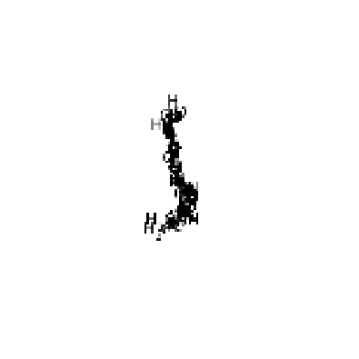 CCN(C)S(=O)(=O)Nc1ccc(F)c(Oc2ccc3ncn(-c4cnn(C5CCN(C(=O)CN6CCC(c7ccc(NC8CCC(=O)NC8=O)cc7)CC6)CC5)c4)c(=O)c3c2)c1C#N